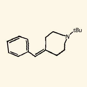 CC(C)(C)N1CCC(=Cc2ccccc2)CC1